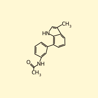 CC(=O)Nc1cccc(-c2cccc3c(C)c[nH]c23)c1